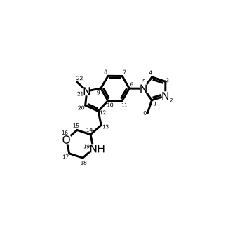 Cc1nccn1-c1ccc2c(c1)c(CC1COCCN1)cn2C